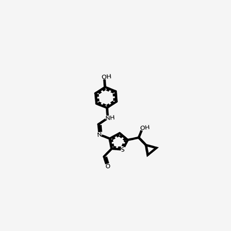 O=Cc1sc(C(O)C2CC2)cc1/N=C\Nc1ccc(O)cc1